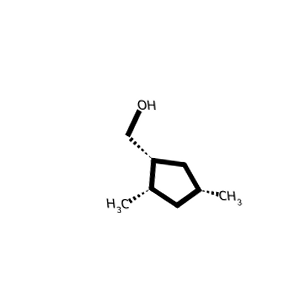 C[C@H]1C[C@@H](CO)[C@@H](C)C1